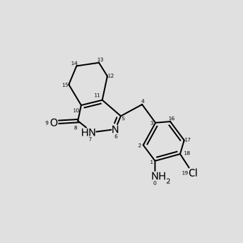 Nc1cc(Cc2n[nH]c(=O)c3c2CCCC3)ccc1Cl